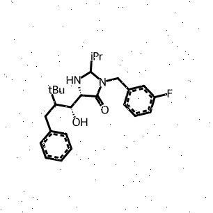 CC(C)C1N[C@@H]([C@H](O)[C](Cc2ccccc2)C(C)(C)C)C(=O)N1Cc1cccc(F)c1